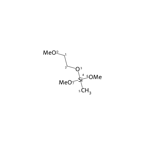 COCCO[Si](C)(OC)OC